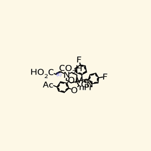 CCCC(Oc1ccc(C(C)=O)cc1OC)C1(C(C#N)(c2ccc(F)cc2)c2ccc(F)cc2)CCN(/C(=C/C(=O)O)C(=O)O)CC1